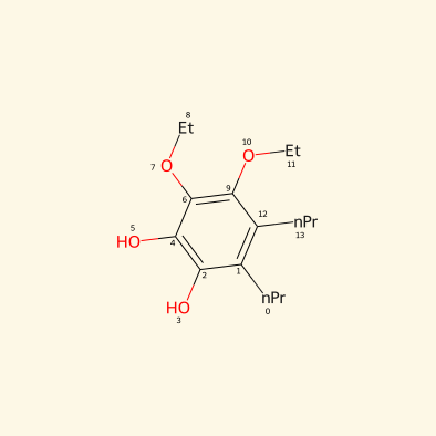 CCCc1c(O)c(O)c(OCC)c(OCC)c1CCC